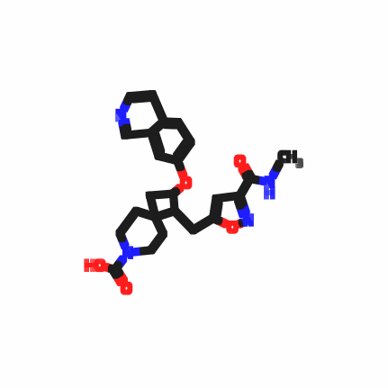 CNC(=O)c1cc(CC2C(Oc3ccc4ccncc4c3)CC23CCN(C(=O)O)CC3)on1